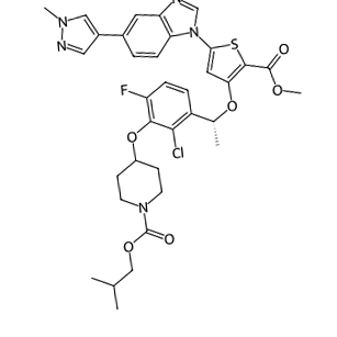 COC(=O)c1sc(-n2cnc3cc(-c4cnn(C)c4)ccc32)cc1O[C@H](C)c1ccc(F)c(OC2CCN(C(=O)OCC(C)C)CC2)c1Cl